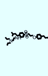 CCCCc1ccc(OCCCS(=O)(=O)c2ccc(C(CC(C)C)NCCN(CCC)CCC)cc2)cc1